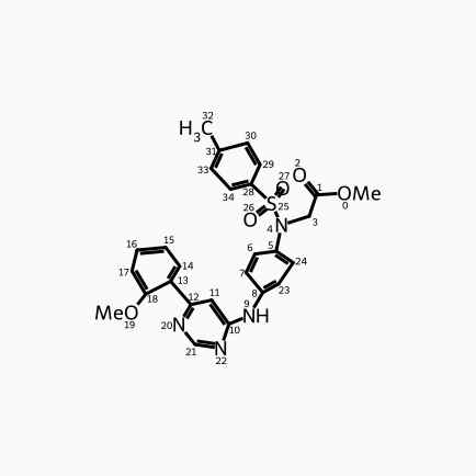 COC(=O)CN(c1ccc(Nc2cc(-c3ccccc3OC)ncn2)cc1)S(=O)(=O)c1ccc(C)cc1